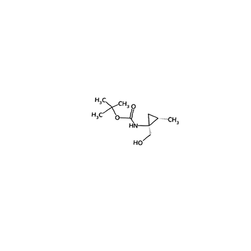 C[C@H]1C[C@]1(CO)NC(=O)OC(C)(C)C